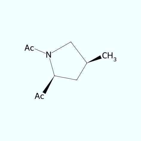 CC(=O)[C@@H]1C[C@H](C)CN1C(C)=O